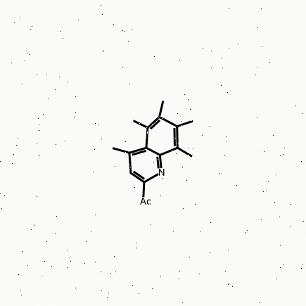 CC(=O)c1cc(C)c2c(C)c(C)c(C)c(C)c2n1